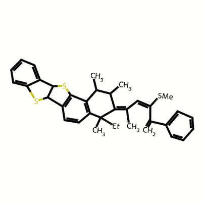 C=C(/C(=C\C(C)=C1/C(C)C(C)c2c(ccc3c2SC2c4ccccc4SC32)C1(C)CC)SC)c1ccccc1